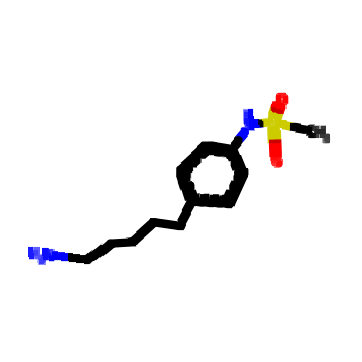 CS(=O)(=O)Nc1ccc(CCCCCN)cc1